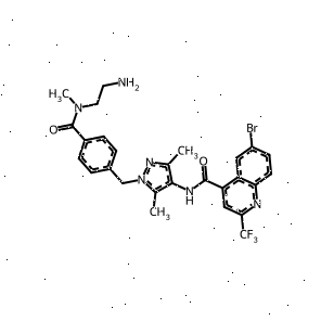 Cc1nn(Cc2ccc(C(=O)N(C)CCN)cc2)c(C)c1NC(=O)c1cc(C(F)(F)F)nc2ccc(Br)cc12